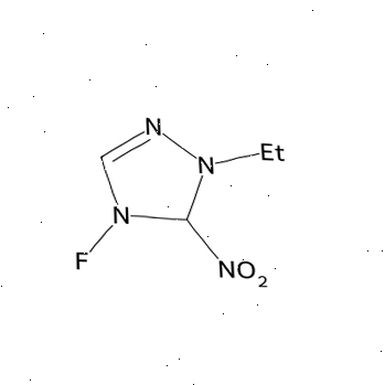 CCN1N=CN(F)C1[N+](=O)[O-]